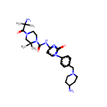 CC(C)(N)C(=O)N1CCN(C(=O)Nc2ccn(-c3ccc(CN4CCC(N)CC4)cc3)c(=O)n2)C(C)(C)C1